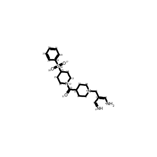 N=C/C(=C\N)CN1CCC(C(=O)N2CCC(S(=O)(=O)c3ccccc3)CC2)CC1